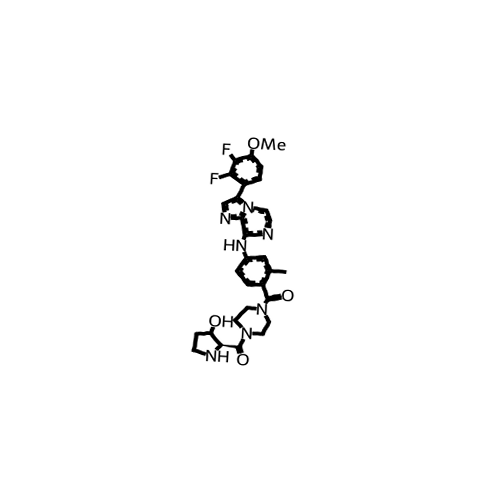 COc1ccc(-c2cnc3c(Nc4ccc(C(=O)N5CCN(C(=O)[C@H]6NCCC6O)CC5)c(C)c4)nccn23)c(F)c1F